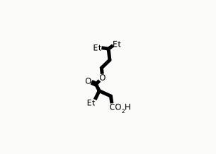 CCC(CC)CCOC(=O)C(CC)CC(=O)O